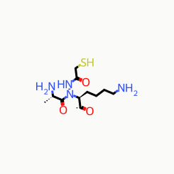 C[C@H](N)C(=O)N(NC(=O)CS)[C@H]([C]=O)CCCCN